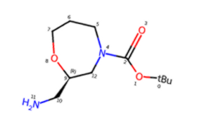 CC(C)(C)OC(=O)N1CCCO[C@H](CN)C1